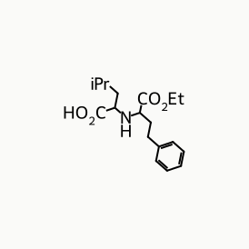 CCOC(=O)C(CCc1ccccc1)NC(CC(C)C)C(=O)O